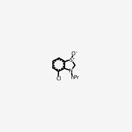 CCCN1C[S+]([O-])c2cccc(Cl)c21